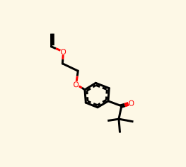 C=COCCOc1ccc(C(=O)C(C)(C)C)cc1